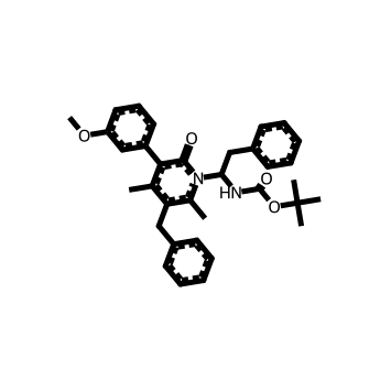 COc1cccc(-c2c(C)c(Cc3ccccc3)c(C)n(C(Cc3ccccc3)NC(=O)OC(C)(C)C)c2=O)c1